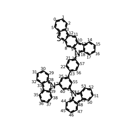 c1ccc2c(c1)sc1cc3c(cc12)c1ccccc1n3-c1ccc(-c2cc(-n3c4ccccc4c4ccccc43)cc(-n3c4ccccc4c4ccccc43)c2)cc1